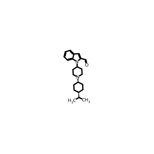 CC(C)[C@H]1CC[C@@H](N2CCC(n3c(C=O)cc4ccccc43)CC2)CC1